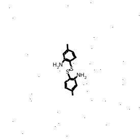 Cc1ccc(SSc2ccc(C)cc2N)c(N)c1